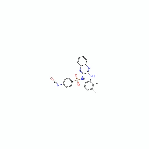 Cc1cccc(NC2=NC3C=CC=CC3N=C2NS(=O)(=O)c2ccc(N=C=O)cc2)c1C